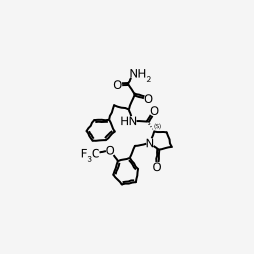 NC(=O)C(=O)C(Cc1ccccc1)NC(=O)[C@@H]1CCC(=O)N1Cc1ccccc1OC(F)(F)F